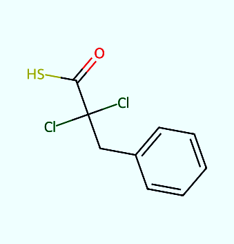 O=C(S)C(Cl)(Cl)Cc1ccccc1